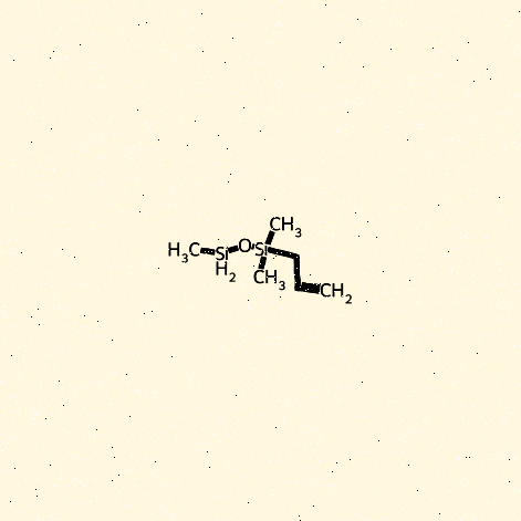 C=CC[Si](C)(C)O[SiH2]C